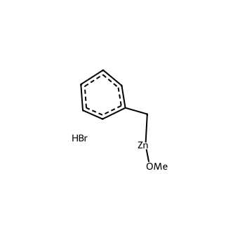 Br.C[O][Zn][CH2]c1ccccc1